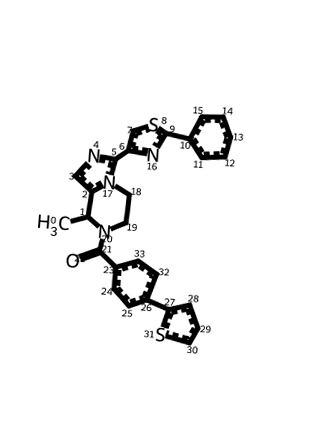 CC1c2cnc(-c3csc(-c4ccccc4)n3)n2CCN1C(=O)c1ccc(-c2cccs2)cc1